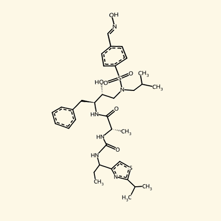 CCC(NC(=O)N[C@@H](C)C(=O)N[C@@H](Cc1ccccc1)[C@H](O)CN(CC(C)C)S(=O)(=O)c1ccc(/C=N/O)cc1)c1csc(C(C)C)n1